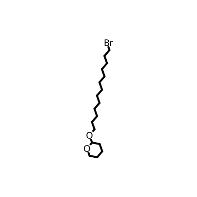 BrCCCCCCCCCCCCCOC1CCCCO1